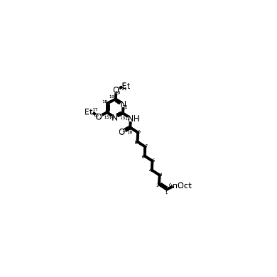 CCCCCCCC/C=C\CCCCCCCC(=O)Nc1nc(OCC)cc(OCC)n1